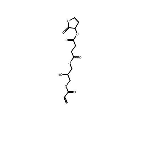 C=CC(=O)OCC(O)COC(=O)CCC(=O)OC1CCOC1=O